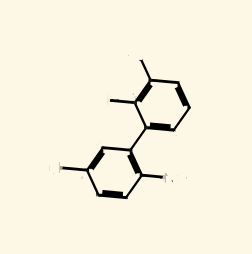 O=[N+]([O-])c1ccc(Cl)cc1-c1cccc(Cl)c1Cl